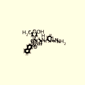 C=CCN(CC(=O)O)C(=O)[C@H](CC(=O)NC[C@@H]1CCCN(C=NN)C1)NS(=O)(=O)c1ccc2ccccc2c1